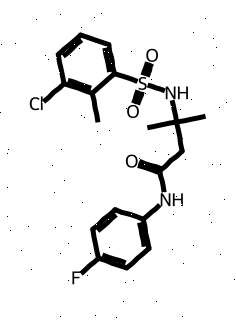 Cc1c(Cl)cccc1S(=O)(=O)NC(C)(C)CC(=O)Nc1ccc(F)cc1